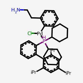 CC(C)c1cc(C(C)C)c(-c2ccccc2[PH](C2CCCCC2)(C2CCCCC2)[Pd]([Cl])[c]2ccccc2CCN)c(C(C)C)c1